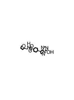 O=S(=O)(NCc1ccco1)c1ccc(-c2cnn3c(O)ncnc23)cc1